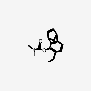 CCc1ccc2c(c1OC(=O)NC)C1C=CC2C1